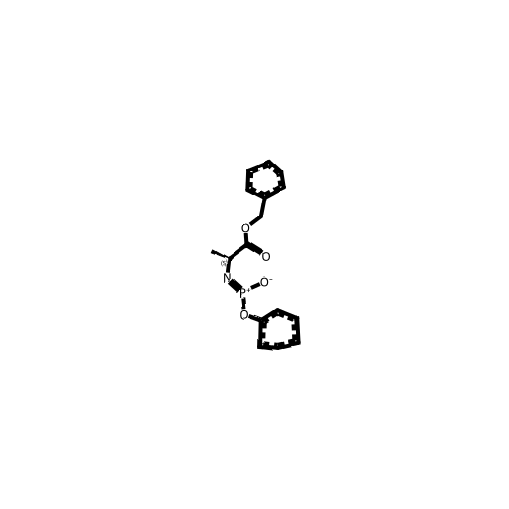 C[C@H](N=[P+]([O-])Oc1ccccc1)C(=O)OCc1ccccc1